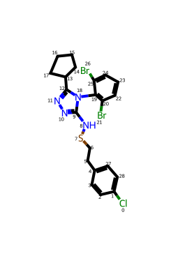 Clc1ccc(CCSNc2nnc(C3CCCC3)n2-c2c(Br)cccc2Br)cc1